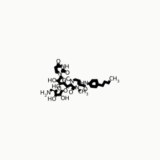 CCCCc1ccc(NC(=O)C2=CCN(C)[C@@H]([C@H](O[C@@H]3O[C@H](CN)C(O)[C@@H]3O)[C@H]3OC(n4ccc(=O)[nH]c4=O)C(O)[C@H]3O)C(=O)N2C)cc1